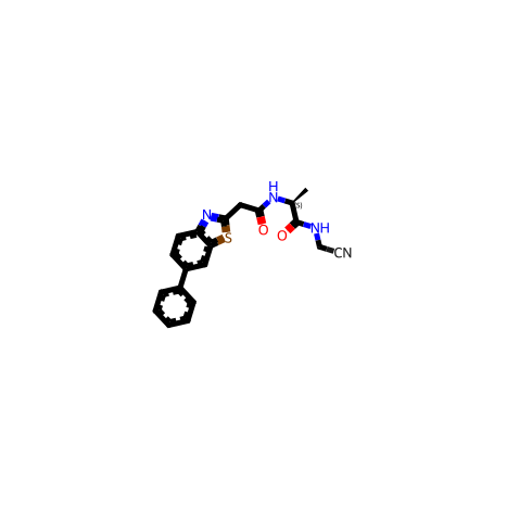 C[C@H](NC(=O)Cc1nc2ccc(-c3ccccc3)cc2s1)C(=O)NCC#N